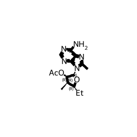 CC[C@H]1O[C@@H](n2c(C)nc3c(N)ncnc32)[C@H](OC(C)=O)[C@@H]1C